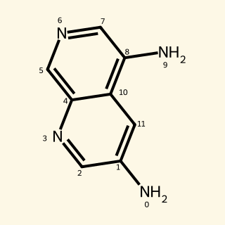 Nc1cnc2cncc(N)c2c1